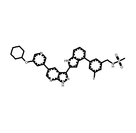 CS(=O)(=O)NCc1cc(F)cc(-c2cccc3[nH]c(-c4n[nH]c5ncc(-c6cncc(OC7CCCCC7)c6)cc45)cc23)c1